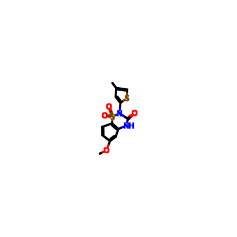 COc1ccc2c(c1)NC(=O)N(c1cc(C)cs1)S2(=O)=O